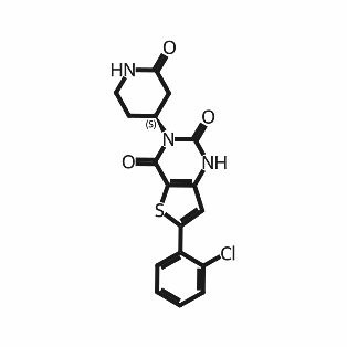 O=C1C[C@@H](n2c(=O)[nH]c3cc(-c4ccccc4Cl)sc3c2=O)CCN1